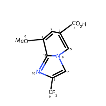 COc1cc(C(=O)O)cn2cc(C(F)(F)F)nc12